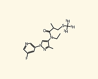 [2H]C([2H])([2H])SCC(C)C(=O)N(CC)c1cn(-c2cncc(F)c2)nc1C